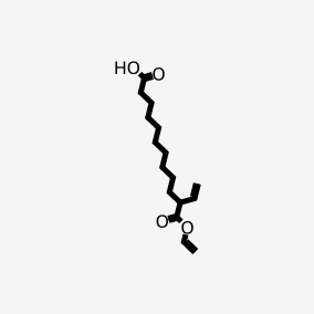 C=COC(=O)C(C=C)CCCCCCCCCC(=O)O